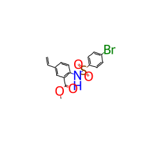 C=Cc1ccc(NS(=O)(=O)c2ccc(Br)cc2)c(C(=O)OC)c1